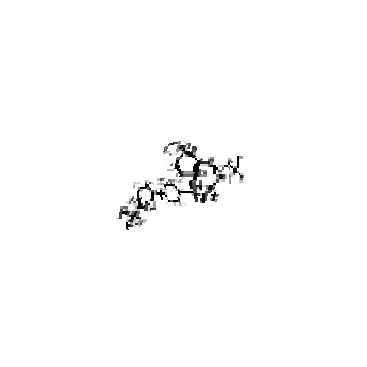 FC(F)(F)CN1Cc2cc(Cl)ccc2-n2c(nnc2C2CCN(c3cccc(C(F)(F)F)n3)CC2)C1